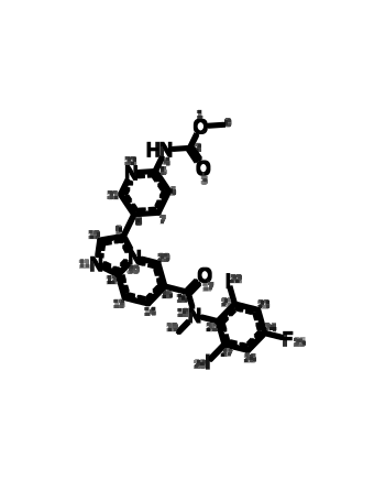 COC(=O)Nc1ccc(-c2cnc3ccc(C(=O)N(C)c4c(I)cc(F)cc4I)cn23)cn1